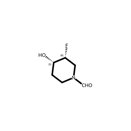 O=CN1CC[C@H](O)[C@H](F)C1